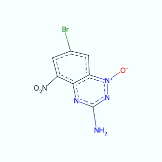 Nc1nc2c([N+](=O)[O-])cc(Br)cc2[n+]([O-])n1